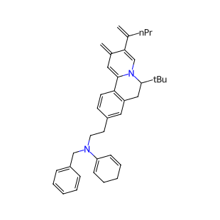 C=C1C=C2c3ccc(CCN(Cc4ccccc4)C4=CCCC=C4)cc3CC(C(C)(C)C)N2C=C1C(=C)CCC